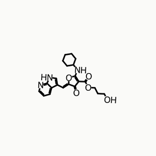 O=C(OCCCO)C1=C(NC2CCCCC2)OC(=Cc2c[nH]c3ncccc23)C1=O